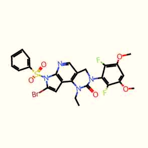 CCN1C(=O)N(c2c(F)c(OC)cc(OC)c2F)Cc2cnc3c(cc(Br)n3S(=O)(=O)c3ccccc3)c21